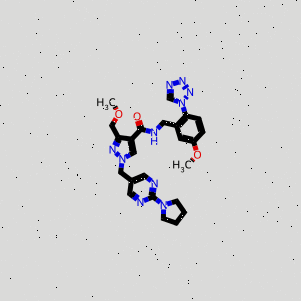 COCc1nn(Cc2cnc(N3CCCC3)nc2)cc1C(=O)NCc1cc(OC)ccc1-n1cnnn1